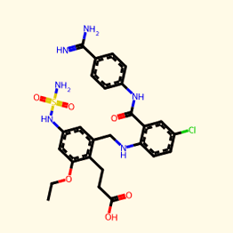 CCOc1cc(NS(N)(=O)=O)cc(CNc2ccc(Cl)cc2C(=O)Nc2ccc(C(=N)N)cc2)c1CCC(=O)O